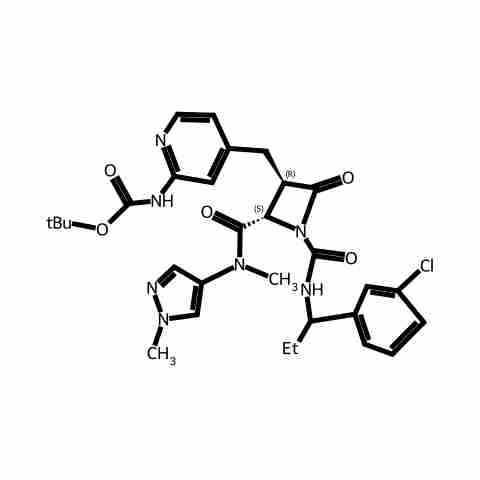 CCC(NC(=O)N1C(=O)[C@H](Cc2ccnc(NC(=O)OC(C)(C)C)c2)[C@H]1C(=O)N(C)c1cnn(C)c1)c1cccc(Cl)c1